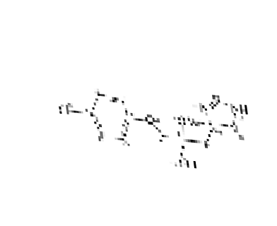 COC(COc1ccc(Cl)cc1)(Cc1nc[nH]n1)C(C)(C)C